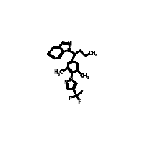 CCCC(c1cc(C)c(-n2cc(C(F)(F)F)cn2)c(C)c1)n1ncc2ccccc21